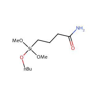 CCCCO[Si](CCCC(N)=O)(OC)OC